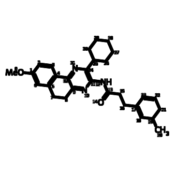 COc1ccc2c(c1)CCc1nc(NC(=O)CCC3=CC(C)CC=C3)c(C3CCCCC3)nc1-2